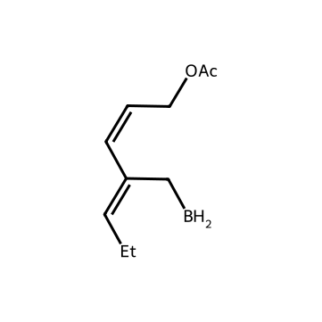 BCC(/C=C\COC(C)=O)=C\CC